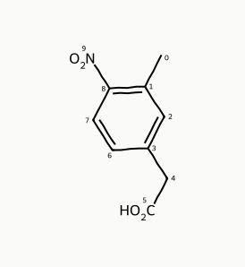 Cc1cc(CC(=O)O)ccc1[N+](=O)[O-]